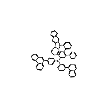 C1=CC2c3cc4ccccc4cc3N(c3ccccc3-c3ccc(N(c4ccc(-c5cc6ccccc6c6ccccc56)cc4)c4cccc(-c5cccc6ccccc56)c4)cc3-c3ccccc3)C2C=CC1